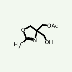 CC(=O)OCC1(CO)COC(C)=N1